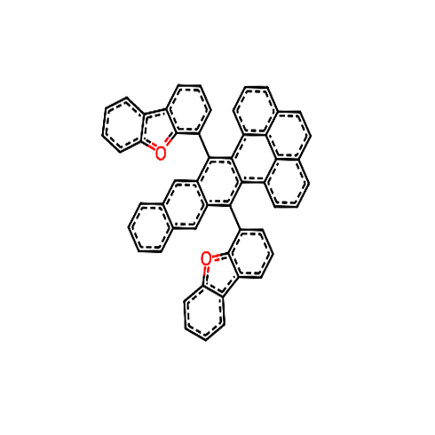 c1ccc2cc3c(-c4cccc5c4oc4ccccc45)c4c5cccc6ccc7cccc(c4c(-c4cccc8c4oc4ccccc48)c3cc2c1)c7c65